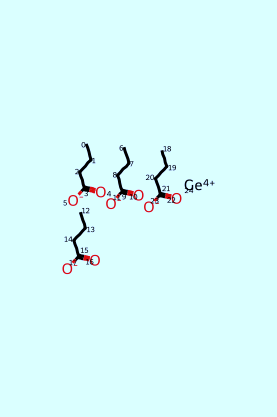 CCCC(=O)[O-].CCCC(=O)[O-].CCCC(=O)[O-].CCCC(=O)[O-].[Ge+4]